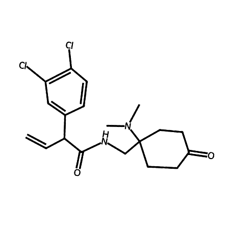 C=CC(C(=O)NCC1(N(C)C)CCC(=O)CC1)c1ccc(Cl)c(Cl)c1